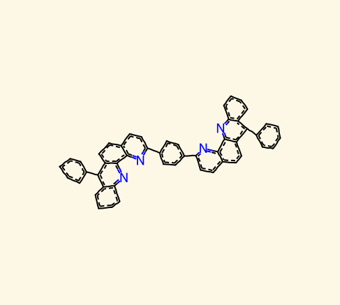 c1ccc(-c2c3ccccc3nc3c2ccc2ccc(-c4ccc(-c5ccc6ccc7c(-c8ccccc8)c8ccccc8nc7c6n5)cc4)nc23)cc1